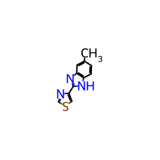 Cc1ccc2[nH]c(-c3cscn3)nc2c1